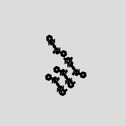 Cc1cc(C)n2cc(C#Cc3nc(-c4ccccc4)cn3C)nc2n1.Cc1cccc2nc(C#Cc3nc(-c4ccccc4)cn3C)nn12.Cc1cccn2nc(C#Cc3nc(-c4ccccc4)cn3C)nc12.Cn1cc(-c2ccccc2)nc1C#Cc1nc2ccccn2n1